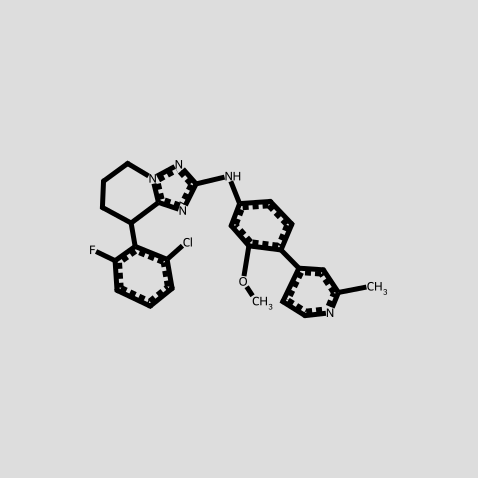 COc1cc(Nc2nc3n(n2)CCCC3c2c(F)cccc2Cl)ccc1-c1ccnc(C)c1